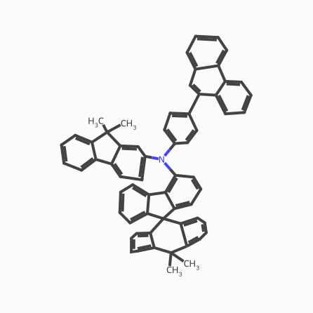 CC1(C)c2ccccc2-c2ccc(N(c3ccc(-c4cc5ccccc5c5ccccc45)cc3)c3cccc4c3-c3ccccc3C43c4ccccc4C(C)(C)c4ccccc43)cc21